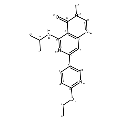 CCOc1ccc(-c2cc3ncn(C)c(=O)c3c(NC(C)C)n2)cn1